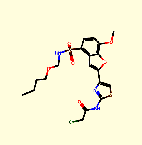 CCCCOCNS(=O)(=O)c1ccc(OC)c2oc(-c3csc(NC(=O)CCl)n3)cc12